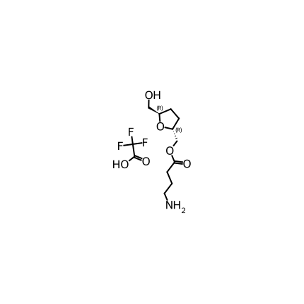 NCCCC(=O)OC[C@H]1CC[C@H](CO)O1.O=C(O)C(F)(F)F